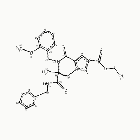 CCOC(=O)c1cc2n(n1)CC(C)(C(=O)NCc1ccccc1)N(Cc1ccccc1OC)C2=O